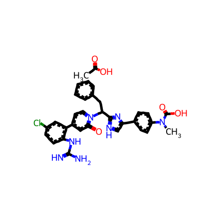 CC(=O)O.CN(C(=O)O)c1ccc(-c2c[nH]c(C(Cc3ccccc3)n3ccc(-c4cc(Cl)ccc4NC(=N)N)cc3=O)n2)cc1